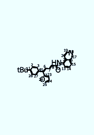 CC(C)(C)c1ccc(C(=CC=CC(=O)Nc2cccc3cnccc23)c2ccco2)cc1